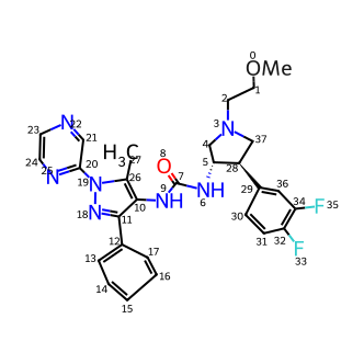 COCCN1C[C@@H](NC(=O)Nc2c(-c3ccccc3)nn(-c3cnccn3)c2C)[C@H](c2ccc(F)c(F)c2)C1